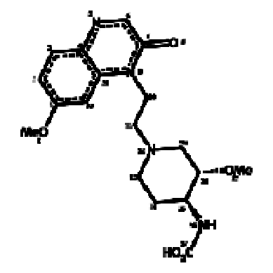 COc1ccc2ncc(=O)n(CCN3CC[C@H](NC(=O)O)[C@@H](OC)C3)c2c1